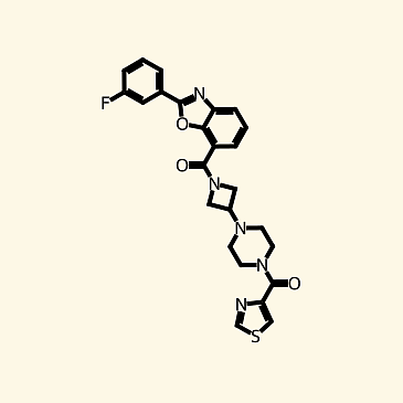 O=C(c1cscn1)N1CCN(C2CN(C(=O)c3cccc4nc(-c5cccc(F)c5)oc34)C2)CC1